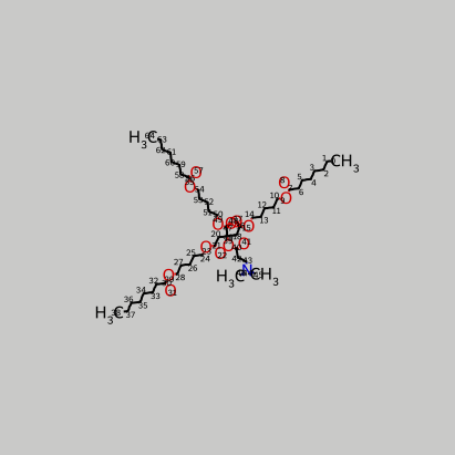 CCCCCCCC(=O)OCCCCCOC(=O)CC(CC(=O)OCCCCCOC(=O)CCCCCCC)(OC(=O)CCN(C)C)C(=O)OCCCCCOC(=O)CCCCCCC